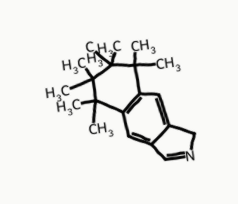 CC1(C)c2cc3c(cc2C(C)(C)C(C)(C)C1(C)C)CN=C3